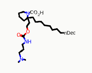 CCCCCCCCCCCCCCCCCCC1(CCOC(=O)NCCCN(C)C)CCCCN1C(=O)O